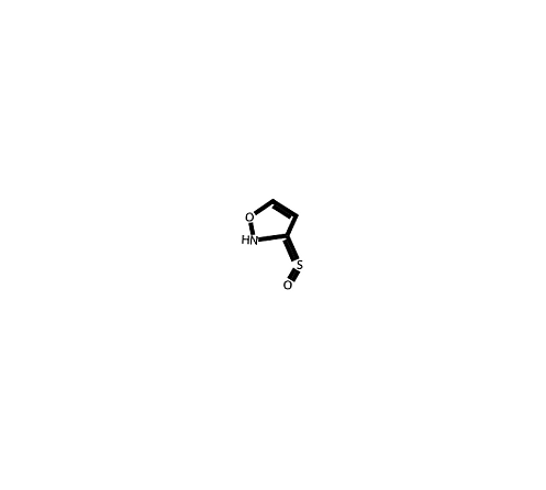 O=S=c1cco[nH]1